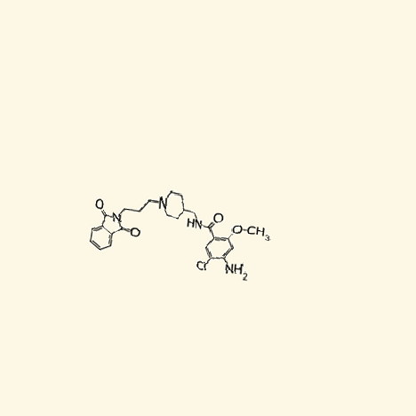 COc1cc(N)c(Cl)cc1C(=O)NCC1CCN(CCCN2C(=O)c3ccccc3C2=O)CC1